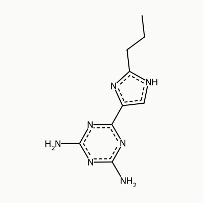 CCCc1nc(-c2nc(N)nc(N)n2)c[nH]1